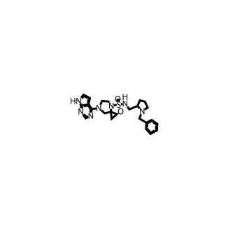 O=S(=O)(NCC1CCCN1Cc1ccccc1)N1CCN(c2ncnc3[nH]ccc23)CC12CC2